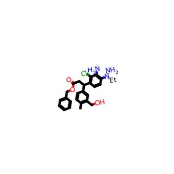 CCN(N)c1ccc(C(CC(=O)OCc2ccccc2)c2ccc(C)c(CO)c2)c(Cl)c1N